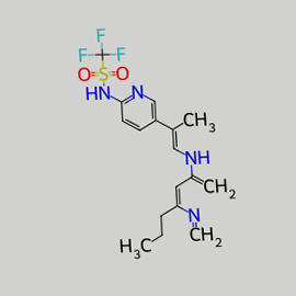 C=N/C(=C\C(=C)N/C=C(\C)c1ccc(NS(=O)(=O)C(F)(F)F)nc1)CCC